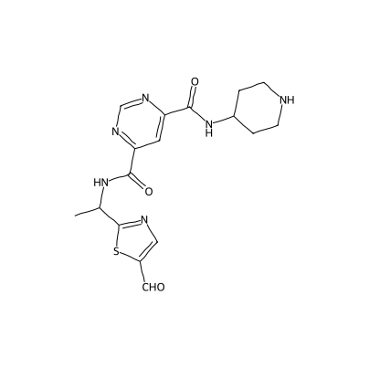 CC(NC(=O)c1cc(C(=O)NC2CCNCC2)ncn1)c1ncc(C=O)s1